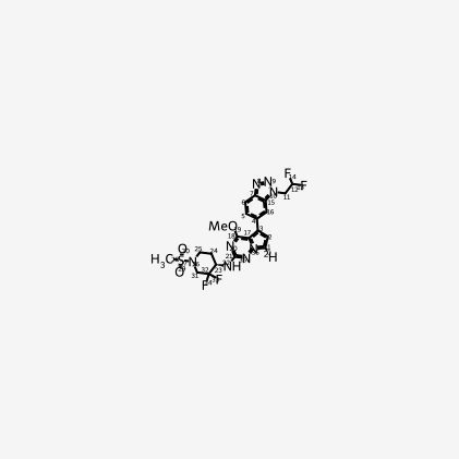 [2H]c1cc(-c2ccc3nnn(CC(F)F)c3c2)c2c(OC)nc(N[C@@H]3CCN(S(C)(=O)=O)CC3(F)F)nn12